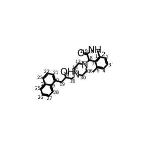 Cc1cccc(C)c1C(C(N)=O)N1CCN(CC(O)Cc2cccc3ccccc23)CC1